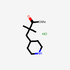 COC(=O)C(C)(C)CC1CCNCC1.Cl